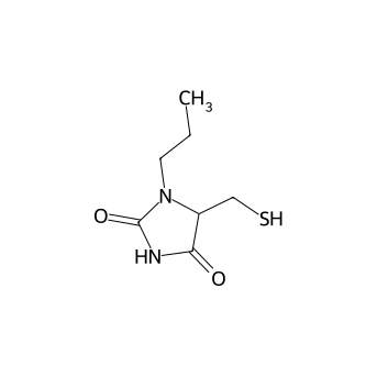 CCCN1C(=O)NC(=O)C1CS